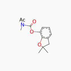 CC(=O)N(C)C(=O)Oc1cccc2c1OC(C)(C)C2